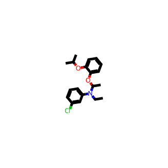 CCN(c1cccc(Cl)c1)C(C)Oc1ccccc1OC(C)C